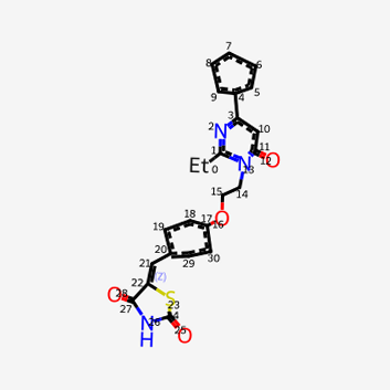 CCc1nc(-c2ccccc2)cc(=O)n1CCOc1ccc(/C=C2\SC(=O)NC2=O)cc1